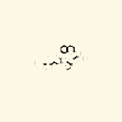 C[C@H](NC(=O)[C@@H](C)Cc1ccccc1)C(=O)N[C@@H](CCC(=O)O)C(=O)N[C@@H](CCCNC(=N)N)C(N)=O